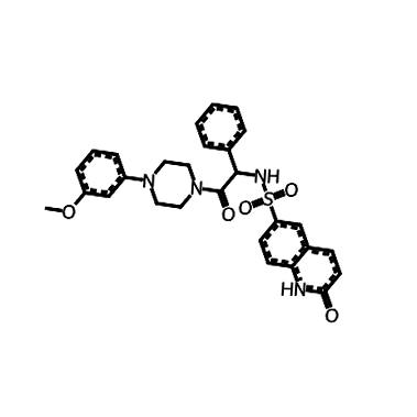 COc1cccc(N2CCN(C(=O)C(NS(=O)(=O)c3ccc4[nH]c(=O)ccc4c3)c3ccccc3)CC2)c1